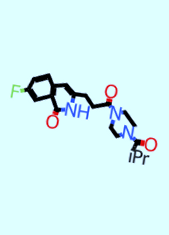 CC(C)C(=O)N1CCN(C(=O)CCc2cc3ccc(F)cc3c(=O)[nH]2)CC1